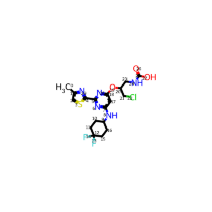 Cc1csc(-c2nc(NC3CCC(F)(F)CC3)cc(OC(CCl)CNC(=O)O)n2)n1